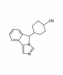 N#CC1CCC(C2c3ccccc3-c3cncn32)CC1